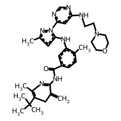 C=C1CC(C(C)(C)C)=C(C)N=C1NC(=O)c1ccc(C)c(Nc2cc(C)nn2-c2cc(NCCN3CCOCC3)ncn2)c1